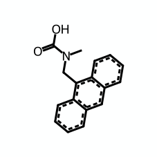 CN(Cc1c2ccccc2cc2ccccc12)C(=O)O